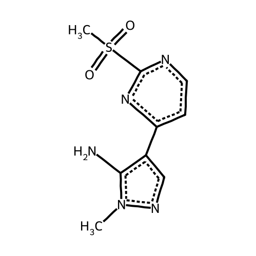 Cn1ncc(-c2ccnc(S(C)(=O)=O)n2)c1N